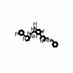 Fc1cccc(-c2nccc3[nH]c(-c4n[nH]c5cc(F)c(-c6cncc(CNCc7ccccc7)c6)cc45)nc23)c1